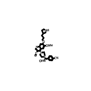 COC1=CC2=C(N3CCN(N(C=O)c4ccc(C#N)cc4)CC3)C(=C=O)C=NC2C=C1OCCCC1CCNC1